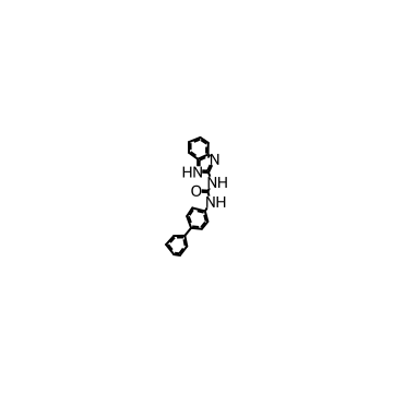 O=C(Nc1ccc(-c2ccccc2)cc1)Nc1nc2ccccc2[nH]1